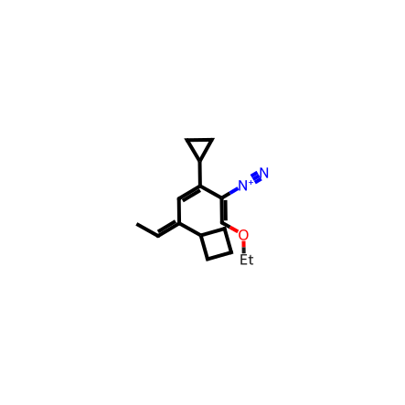 C\C=C(/C=C(\C(=C\OCC)[N+]#N)C1CC1)C1CCC1